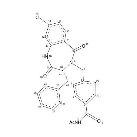 CC(=O)NC(=O)c1ccc(CN2C(=O)c3ccc(Cl)cc3NC(=O)[C@H]2Cc2ccccn2)cc1